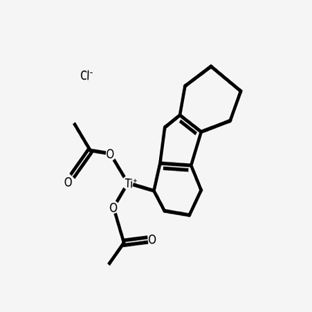 CC(=O)[O][Ti+]([O]C(C)=O)[CH]1CCCC2=C1CC1=C2CCCC1.[Cl-]